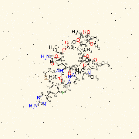 CC[C@H]1OC(=O)[C@H](C)C([C@H]2C[C@@](C)(OC)[C@@H](O)[C@H](C)O2)[C@H](C)[C@@H](O[C@H]2C[C@@H](N(C)CCc3cn([C@H](CF)[C@H](OC)c4ccc(-c5cnc(N)nc5)cc4)nn3)C[C@@H](C)O2)[C@](C)(OC)C[C@@H](C)C(=O)[C@H](C)[C@@H](CNC2CCSCC2)[C@]1(C)OC(N)=O